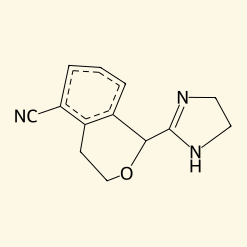 N#Cc1cccc2c1CCOC2C1=NCCN1